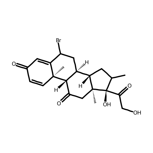 CC1C[C@H]2[C@@H]3CC(Br)C4=CC(=O)C=C[C@]4(C)[C@H]3C(=O)C[C@]2(C)[C@@]1(O)C(=O)CO